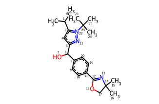 CC(C)c1cc(C(O)c2ccc(C3=NC(C)(C)CO3)cc2)nn1C(C)(C)C